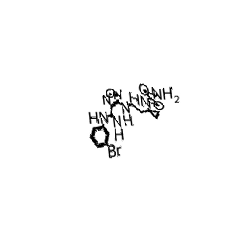 N=C(Nc1cccc(Br)c1)c1nonc1NCCC1(NS(N)(=O)=O)CC1